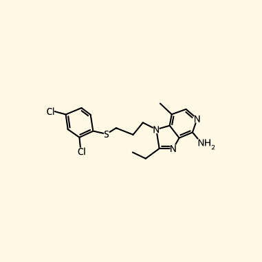 CCc1nc2c(N)ncc(C)c2n1CCCSc1ccc(Cl)cc1Cl